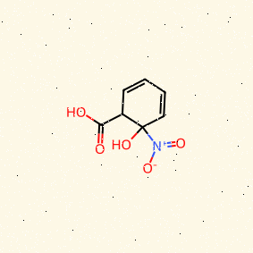 O=C(O)C1C=CC=CC1(O)[N+](=O)[O-]